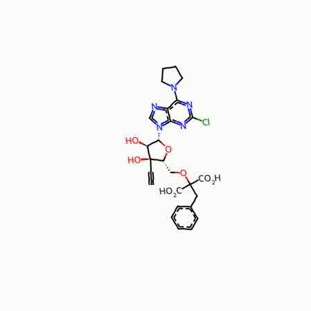 C#C[C@@]1(O)[C@@H](COC(Cc2ccccc2)(C(=O)O)C(=O)O)O[C@@H](n2cnc3c(N4CCCC4)nc(Cl)nc32)[C@@H]1O